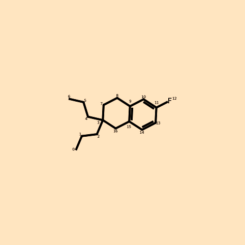 CCCC1(CCC)CCc2cc(F)ccc2C1